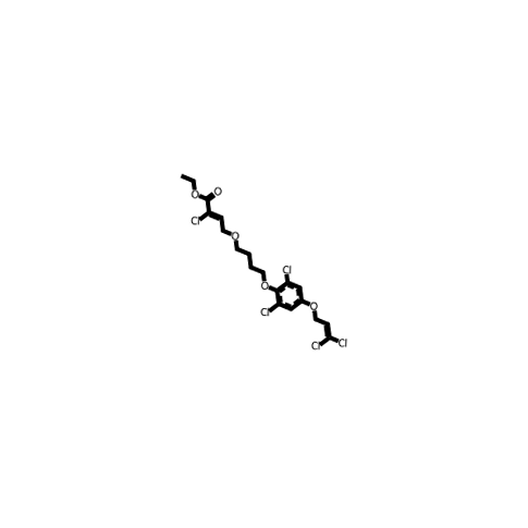 CCOC(=O)C(Cl)=CCOCCCCOc1c(Cl)cc(OCC=C(Cl)Cl)cc1Cl